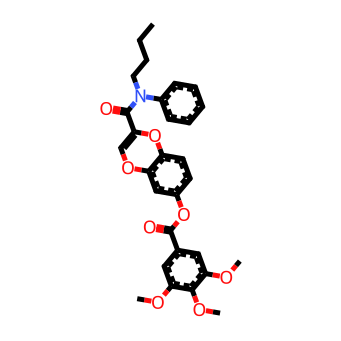 CCCCN(C(=O)C1=COc2cc(OC(=O)c3cc(OC)c(OC)c(OC)c3)ccc2O1)c1ccccc1